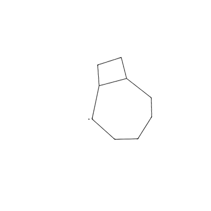 [CH]1CCCCC2CCC12